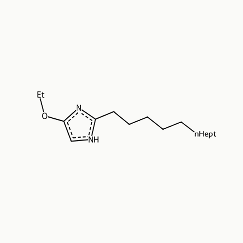 CCCCCCCCCCCCc1nc(OCC)c[nH]1